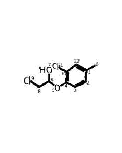 Cc1ccc(OC(O)CCl)c(Cl)c1